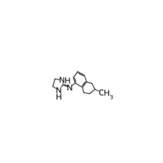 CC1CCc2c(cccc2N=C2NCCN2)C1